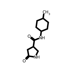 CC1CCC(NC(=O)C2CNC(=O)C2)CC1